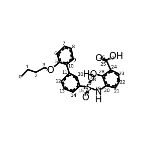 CCCCOc1ccccc1-c1cccc(S(=O)(=O)Nc2cccc(C(=O)O)c2O)c1